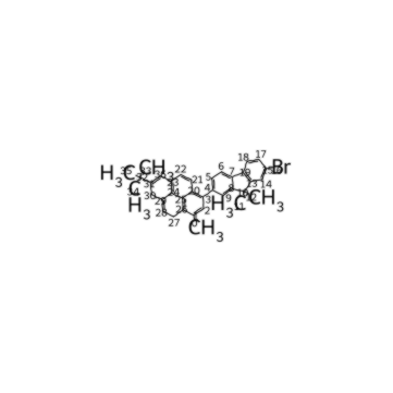 Cc1cc(-c2ccc3c(c2)C(C)(C)c2cc(Br)ccc2-3)c2ccc3c4c2c1CC=C4CC(C(C)(C)C)=C3